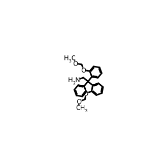 COCOc1ccccc1C(CN)(c1ccccc1)c1ccccc1OCOC